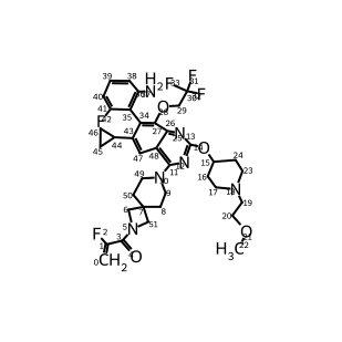 C=C(F)C(=O)N1CC2(CCN(c3nc(OC4CCN(CCOC)CC4)nc4c(OCC(F)(F)F)c(-c5c(N)cccc5F)c(C5CC5)cc34)CC2)C1